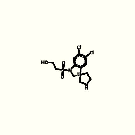 O=S(=O)(CCO)N1C[C@@]2(CCNC2)c2cc(Cl)c(Cl)cc21